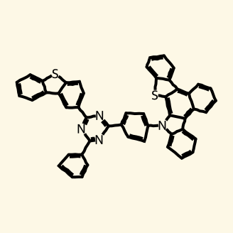 c1ccc(-c2nc(-c3ccc(-n4c5ccccc5c5c6ccccc6c6c7ccccc7sc6c54)cc3)nc(-c3ccc4sc5ccccc5c4c3)n2)cc1